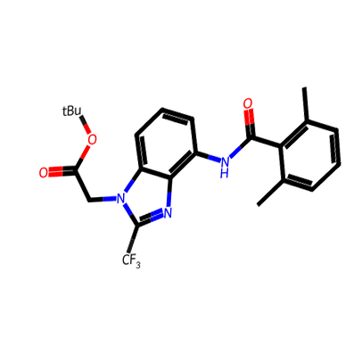 Cc1cccc(C)c1C(=O)Nc1cccc2c1nc(C(F)(F)F)n2CC(=O)OC(C)(C)C